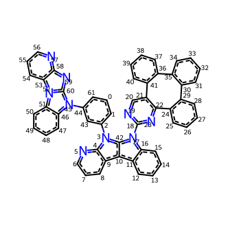 c1cc(-n2c3ncccc3c3c4ccccc4n(-c4ncc5c(n4)-c4ccccc4-c4ccccc4-c4ccccc4-5)c32)cc(-n2c3ccccc3n3c4cccnc4nc23)c1